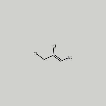 CC/C=C(\Cl)CCl